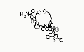 NC(=O)OC1CCCCC/C=C\C2CC2(C(=O)NS(=O)(=O)c2cc(Cl)sc2Cl)NC(=O)C2CCCN2C1=O